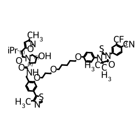 Cc1cc([C@H](C(=O)N2C[C@@H](O)C[C@@H]2C(=O)NCc2ccc(-c3scnc3C)cc2OCCCOCCCCCOc2ccc(N3C(=S)N(c4ccc(C#N)c(C(F)(F)F)c4)C(=O)C3(C)C)cc2)C(C)C)on1